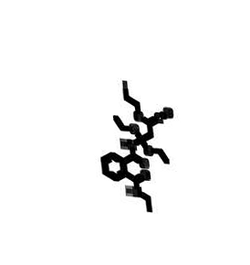 CCNC(=O)c1ccccc1C(=O)NC(CC(=C=O)OCCI)(OCC)OCC